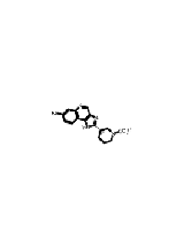 O=C(O)N1CCC[C@H](c2nc3cnc4cc(Br)ccc4c3[nH]2)C1